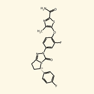 Cc1nc(C(N)=O)sc1Oc1ccc(-n2nc3n(c2=O)[C@H](c2ccc(F)cc2)CC3)cc1F